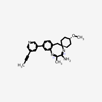 CC#Cc1cncc(-c2ccc3c(c2)/N=C(C)\C(N)=N/[C@]2(CC[C@@H](OC)CC2)C3)c1